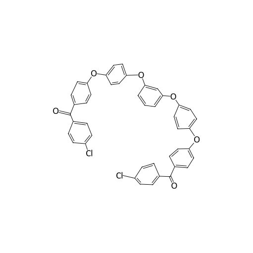 O=C(c1ccc(Cl)cc1)c1ccc(Oc2ccc(Oc3cccc(Oc4ccc(Oc5ccc(C(=O)c6ccc(Cl)cc6)cc5)cc4)c3)cc2)cc1